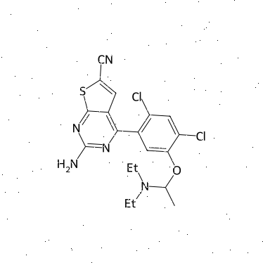 CCN(CC)C(C)Oc1cc(-c2nc(N)nc3sc(C#N)cc23)c(Cl)cc1Cl